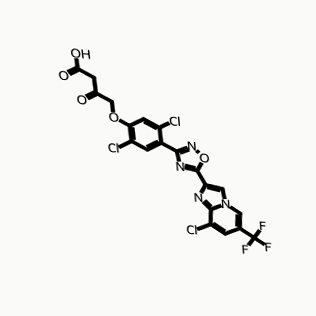 O=C(O)CC(=O)COc1cc(Cl)c(-c2noc(-c3cn4cc(C(F)(F)F)cc(Cl)c4n3)n2)cc1Cl